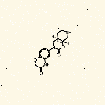 O=C1COc2ccc(N3C[C@H]4CCNC[C@@H]4OC3=O)cc2N1